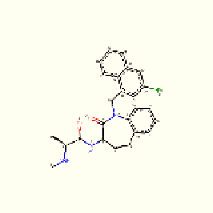 CN[C@@H](C)C(=O)NC1CCc2ccccc2N(Cc2cc(Br)cc3ccccc23)C1=O